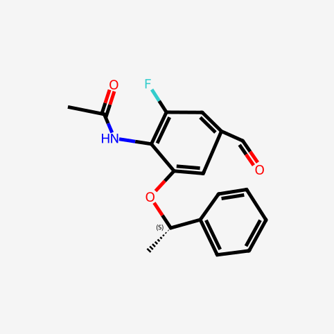 CC(=O)Nc1c(F)cc(C=O)cc1O[C@@H](C)c1ccccc1